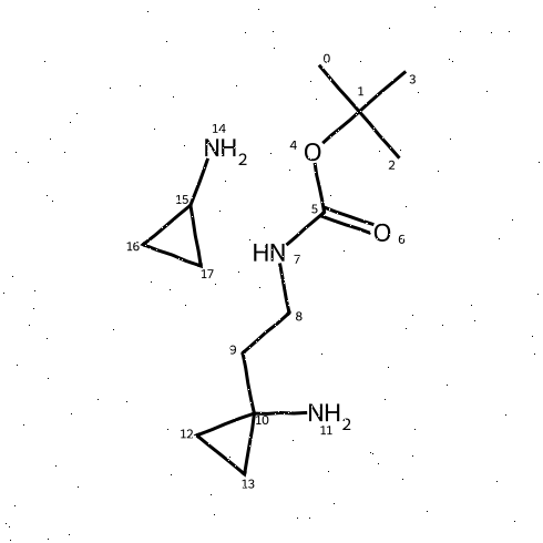 CC(C)(C)OC(=O)NCCC1(N)CC1.NC1CC1